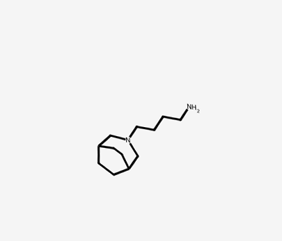 NCCCCN1CC2CCC(CC2)C1